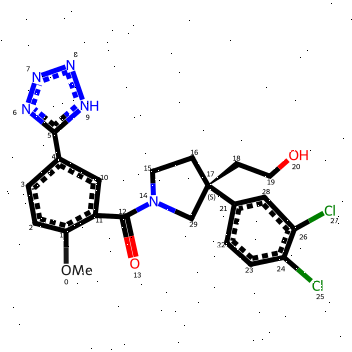 COc1ccc(-c2nnn[nH]2)cc1C(=O)N1CC[C@](CCO)(c2ccc(Cl)c(Cl)c2)C1